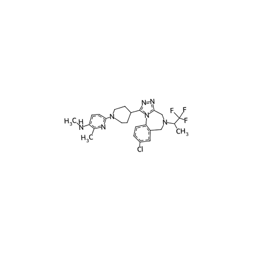 CNc1ccc(N2CCC(c3nnc4n3-c3ccc(Cl)cc3CN(C(C)C(F)(F)F)C4)CC2)nc1C